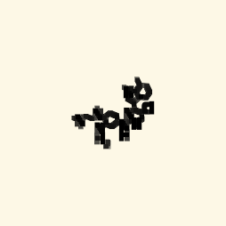 Cc1cccc2c(-c3nc(Nc4ccc(N(C)CCN(C)C)c(N)c4)ncc3Cl)cn(C)c12